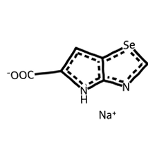 O=C([O-])c1cc2[se]cnc2[nH]1.[Na+]